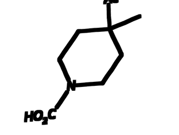 CC(=O)C1(C)CCN(C(=O)O)CC1